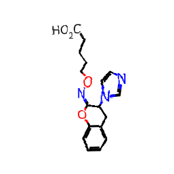 O=C(O)CCCCON=C1Oc2ccccc2CC1n1ccnc1